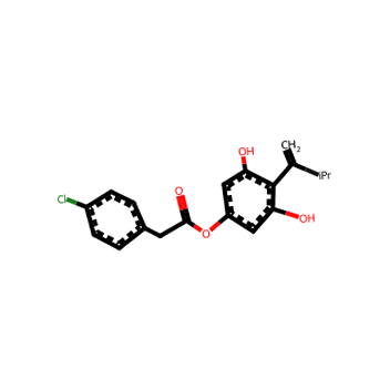 C=C(c1c(O)cc(OC(=O)Cc2ccc(Cl)cc2)cc1O)C(C)C